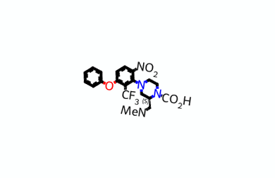 CNC[C@H]1CN(c2c([N+](=O)[O-])ccc(Oc3ccccc3)c2C(F)(F)F)CCN1C(=O)O